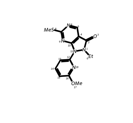 CCn1c(=O)c2cnc(SC)nc2n1-c1cccc(OC)n1